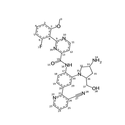 COc1cccc(F)c1-c1nccc(C(=O)Nc2ccc(-c3ncccc3C#N)cc2N2CC(N)CC2CO)n1